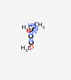 CNc1ncnc(C(=O)N2CCC(N3CCC(OC)CC3)CC2)c1C